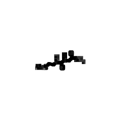 CSCCNC(=O)NCC(N)=O